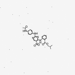 CC(=O)Nc1ccc(Nc2ncc([N+](=O)[O-])c(Nc3ccccc3C(=O)OCC(C)C)n2)cc1